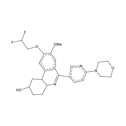 COc1cc2c(cc1OCC(F)F)C1CC(O)CCC1N=C2c1ccc(N2CCOCC2)nc1